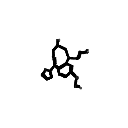 COc1ccc2c(c1)N(CCCl)CC(Cl)CN=C2c1ccco1